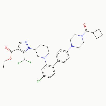 CCOC(=O)c1cnn(C2CCCN(c3cc(Cl)ccc3-c3ccc(N4CCN(C(=O)C5CCC5)CC4)cc3)C2)c1C(F)F